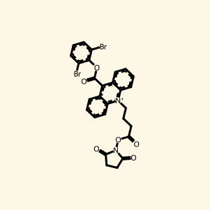 O=C(CCC[n+]1c2ccccc2c(C(=O)Oc2c(Br)cccc2Br)c2ccccc21)ON1C(=O)CCC1=O